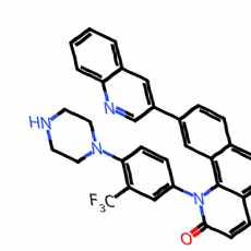 O=c1ccc2ccc3ccc(-c4cnc5ccccc5c4)cc3c2n1-c1ccc(N2CCNCC2)c(C(F)(F)F)c1